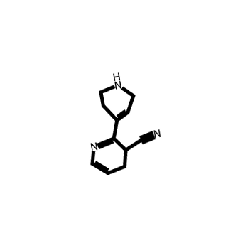 N#CC1CC=CN=C1C1=CCNCC1